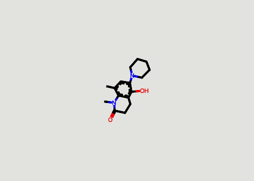 Cc1cc(N2CCCCC2)c(O)c2c1N(C)C(=O)CC2